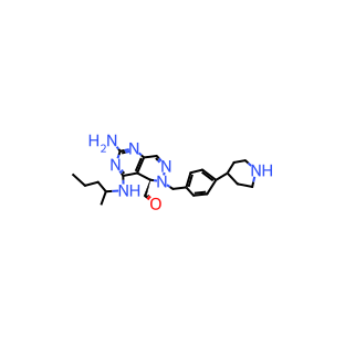 CCCC(C)Nc1nc(N)nc2c1[C@H](C=O)N(Cc1ccc(C3CCNCC3)cc1)N=C2